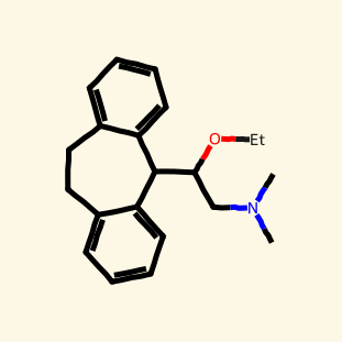 CCOC(CN(C)C)C1c2ccccc2CCc2ccccc21